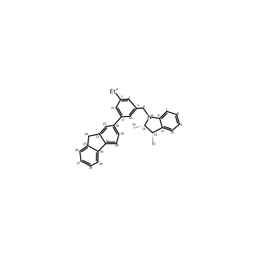 CCc1cc(CN2c3ccccc3[C@H](C)[C@@H]2C)cc(-c2ccc3c(c2)Cc2ccccc2-3)c1